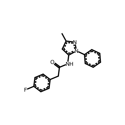 Cc1cc(NC(=O)Cc2ccc(F)cc2)n(-c2ccccc2)n1